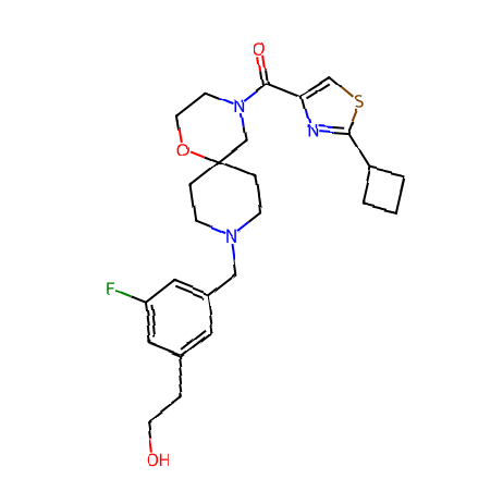 O=C(c1csc(C2CCC2)n1)N1CCOC2(CCN(Cc3cc(F)cc(CCO)c3)CC2)C1